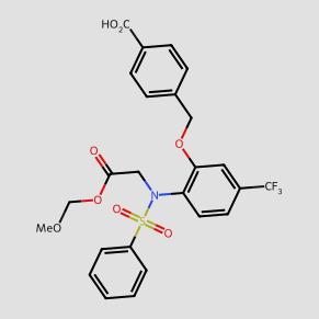 COCOC(=O)CN(c1ccc(C(F)(F)F)cc1OCc1ccc(C(=O)O)cc1)S(=O)(=O)c1ccccc1